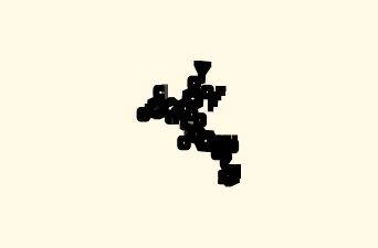 O=C(CN1C(=O)c2ccc(NS(=O)(=O)CCc3nccs3)cc2C1=O)O[C@@H](Cc1c(Cl)c[n+]([O-])cc1Cl)c1ccc(OC(F)F)c(OCC2CC2)c1